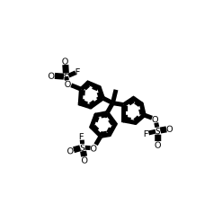 CC(c1ccc(OS(=O)(=O)F)cc1)(c1ccc(OS(=O)(=O)F)cc1)c1ccc(OS(=O)(=O)F)cc1